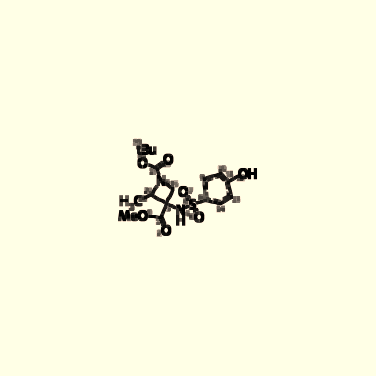 COC(=O)C1(NS(=O)(=O)c2ccc(O)cc2)CN(C(=O)OC(C)(C)C)C1C